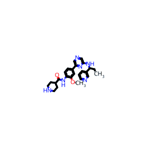 CCC(Nc1cncc(-c2ccc(NC(=O)C3CCNCC3)c(OC)c2)n1)c1cccnc1